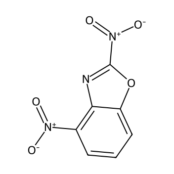 O=[N+]([O-])c1nc2c([N+](=O)[O-])cccc2o1